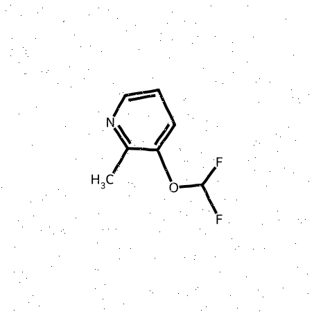 Cc1ncccc1OC(F)F